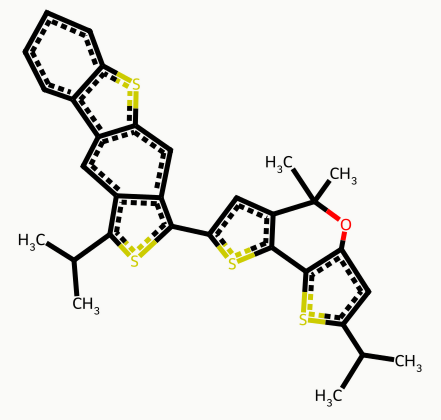 CC(C)c1cc2c(s1)-c1sc(-c3sc(C(C)C)c4cc5c(cc34)sc3ccccc35)cc1C(C)(C)O2